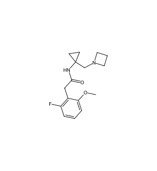 COc1cccc(F)c1CC(=O)NC1(CN2CCC2)CC1